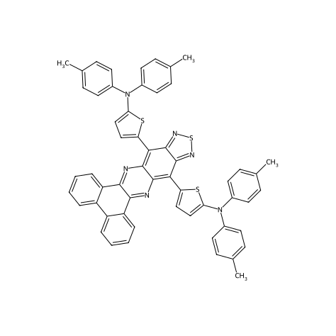 Cc1ccc(N(c2ccc(C)cc2)c2ccc(-c3c4nsnc4c(-c4ccc(N(c5ccc(C)cc5)c5ccc(C)cc5)s4)c4nc5c6ccccc6c6ccccc6c5nc34)s2)cc1